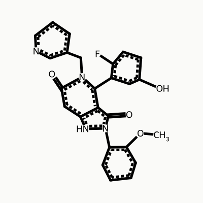 COc1ccccc1-n1[nH]c2cc(=O)n(Cc3cccnc3)c(-c3cc(O)ccc3F)c2c1=O